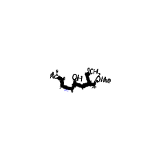 C=CC(=CC(O)/C=C\CC(C)=O)COC